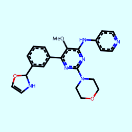 COc1c(Nc2ccncc2)nc(N2CCOCC2)nc1-c1cccc(C2NC=CO2)c1